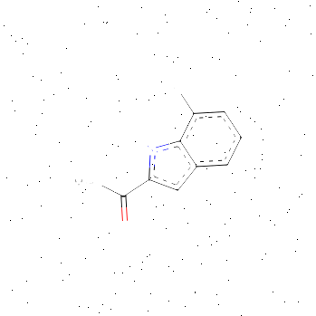 COC(=O)c1cc2cccc(C=O)c2[nH]1